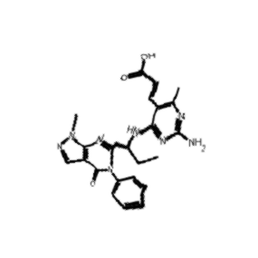 CCC(Nc1nc(N)nc(C)c1C=CC(=O)O)c1nc2c(cnn2C)c(=O)n1-c1ccccc1